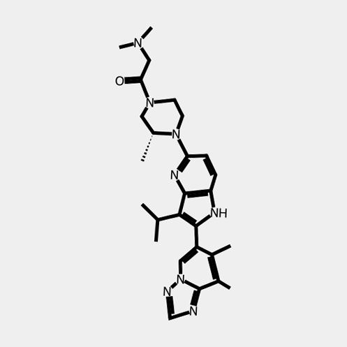 Cc1c(-c2[nH]c3ccc(N4CCN(C(=O)CN(C)C)C[C@H]4C)nc3c2C(C)C)cn2ncnc2c1C